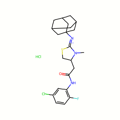 CN1/C(=N/C23CC4CC(CC(C4)C2)C3)SCC1CC(=O)Nc1cc(Cl)ccc1F.Cl